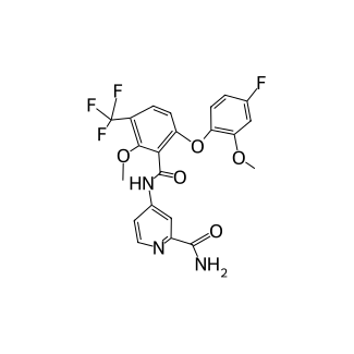 COc1cc(F)ccc1Oc1ccc(C(F)(F)F)c(OC)c1C(=O)Nc1ccnc(C(N)=O)c1